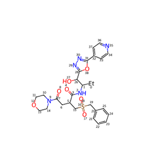 CCC(NC(=O)C(CC(=O)N1CCOCC1)CS(=O)(=O)Cc1ccccc1)C(O)c1nnc(-c2ccncc2)o1